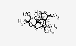 C=C(CO)OC1CC2(C(C)C)CC3C(C)CCC3C1(C)O2